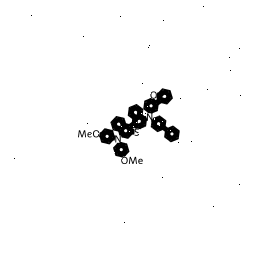 COc1ccc(N(c2ccc(OC)cc2)c2cc3sc4cc(N(c5ccc(-c6ccccc6)cc5)c5ccc6oc7ccccc7c6c5)c5ccccc5c4c3c3ccccc23)cc1